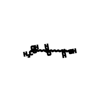 CC[C@H](O)OCCCCCCNC(=O)CCCCCCCNCCCO